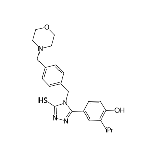 CC(C)c1cc(-c2nnc(S)n2Cc2ccc(CN3CCOCC3)cc2)ccc1O